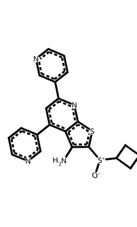 Nc1c([S+]([O-])C2CCC2)sc2nc(-c3cccnc3)cc(-c3cccnc3)c12